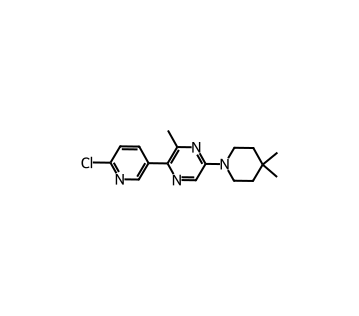 Cc1nc(N2CCC(C)(C)CC2)cnc1-c1ccc(Cl)nc1